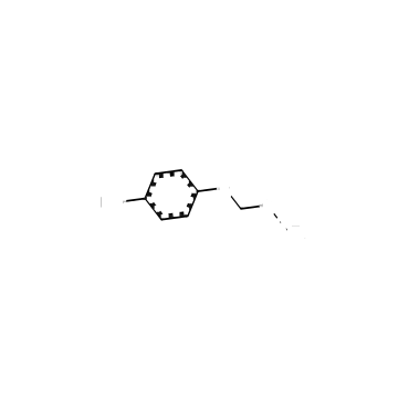 NOCOc1ccc(O)cc1